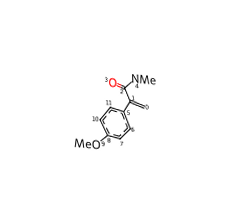 C=C(C(=O)NC)c1ccc(OC)cc1